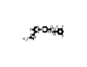 [2H]C([2H])(NC(=O)C1CCN(c2ncc(F)c(-c3nnc(C)s3)n2)CC1)c1cc(F)cc(F)c1F